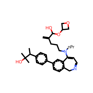 C=C(CCCN(CCC)C1=CC=NCc2ccc(-c3ccc(C(C)C(C)(C)O)cc3)cc21)C(O)OC1COC1